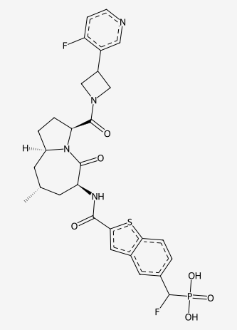 C[C@@H]1C[C@H]2CC[C@@H](C(=O)N3CC(c4cnccc4F)C3)N2C(=O)[C@@H](NC(=O)c2cc3cc(C(F)P(=O)(O)O)ccc3s2)C1